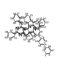 c1ccc(-c2ccc(-c3cc(-c4ccccc4)nc(-c4ccccc4-n4c5ccccc5c5ccc6c7ccccc7n(-c7nc(-c8ccccc8)nc(-c8ccccc8)n7)c6c54)c3)cc2)cc1